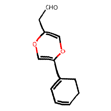 O=CCC1=COC(C2=CC=CCC2)=CO1